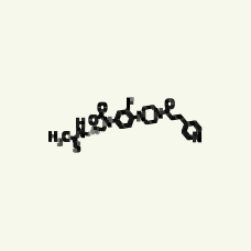 CC(=S)NC[C@H]1CN(c2ccc(N3CCN(C(=O)C=Cc4ccncc4)CC3)c(F)c2)C(=O)O1